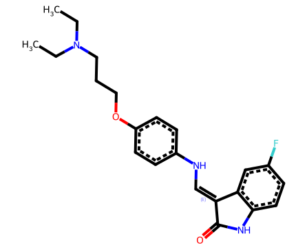 CCN(CC)CCCOc1ccc(N/C=C2/C(=O)Nc3ccc(F)cc32)cc1